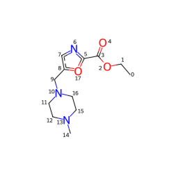 CCOC(=O)c1ncc(CN2CCN(C)CC2)o1